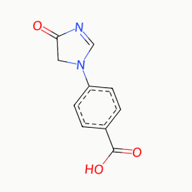 O=C1CN(c2ccc(C(=O)O)cc2)C=N1